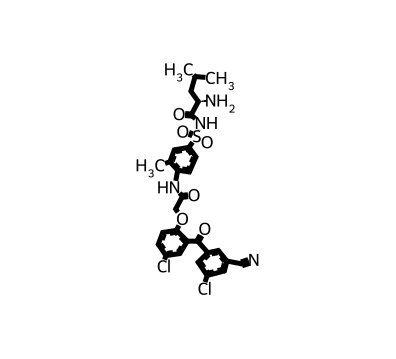 Cc1cc(S(=O)(=O)NC(=O)[C@@H](N)CC(C)C)ccc1NC(=O)COc1ccc(Cl)cc1C(=O)c1cc(Cl)cc(C#N)c1